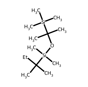 CCC(C)(C)[Si](C)(C)OC(C)(C)[Si](C)(C)C